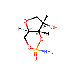 C[C@]1(O)CO[C@@H]2COP(N)(=O)O[C@H]21